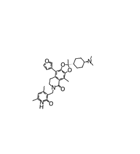 Cc1cc(C)c(CN2CCc3c(c(C)c4c(c3-c3ccoc3)OC(C)([C@H]3CC[C@H](N(C)C)CC3)O4)C2=O)c(=O)[nH]1